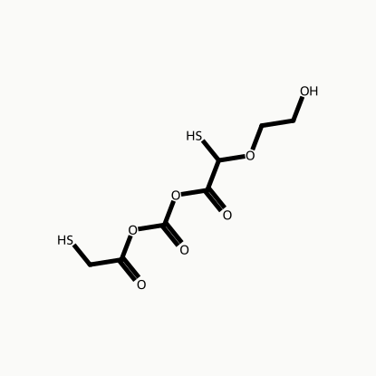 O=C(CS)OC(=O)OC(=O)C(S)OCCO